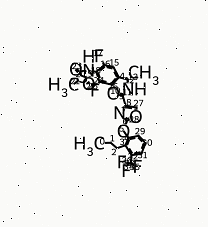 CCCc1c(Oc2nc(C(=O)NC(C)c3cc(F)c(NS(C)(=O)=O)c(F)c3)co2)cccc1C(F)(F)F